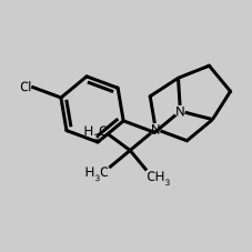 CC(C)(C)N1CC2CCC(C1)N2Cc1ccc(Cl)cc1